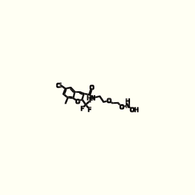 Cc1cc(Cl)cc2c1OC(C(F)(F)F)C(C(=O)NCCOCCONO)=C2